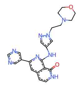 O=c1[nH]ccc2cc(-c3cncnc3)nc(Nc3cnn(CCN4CCOCC4)c3)c12